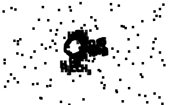 CC(C)(C)OC(=O)N[C@H]1CCCCC/C=C\[C@@H]2C[C@@]2(C(=O)O)NC(=O)[C@@H]2C[C@@H](n3ncc(N4CCCC4)c(-c4ccsc4)c3=O)CN2C1=O